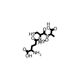 CC(C(=O)O)N(OS)C(=O)C(CS)NC(=O)CCC(N)C(=O)O